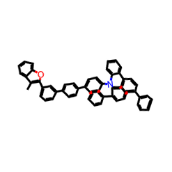 Cc1c(-c2cccc(-c3ccc(-c4ccc(N(c5ccccc5-c5ccccc5)c5ccccc5-c5ccc(-c6ccccc6)cc5)cc4)cc3)c2)oc2ccccc12